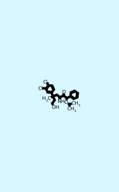 CC(C)OC(C(=O)C(=N)CC(C)(CCO)c1ccc(Cl)c(Cl)c1)c1ccccc1